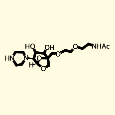 CC(=O)NCCOCCOCC12CO[C@H](O1)[C@@H](N1CCNCC1)C(O)C2O